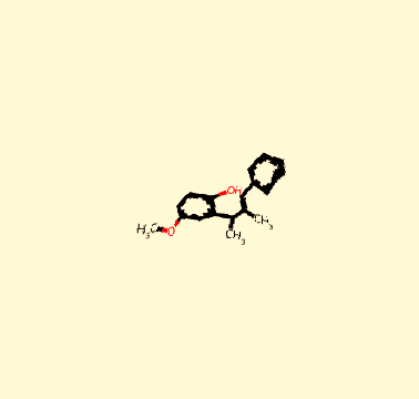 COc1ccc(O)c(C(C)C(C)=Cc2ccccc2)c1